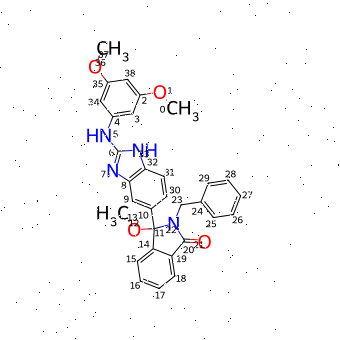 COc1cc(Nc2nc3cc(C4(OC)c5ccccc5C(=O)N4Cc4ccccc4)ccc3[nH]2)cc(OC)c1